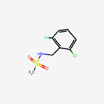 O=S(=O)(NCc1c(F)cccc1Cl)C(F)(F)F